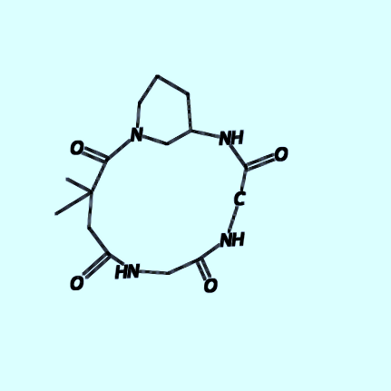 CC1(C)CC(=O)NCC(=O)NCC(=O)NC2CCCN(C2)C1=O